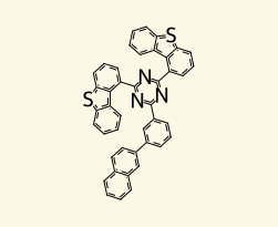 c1cc(-c2ccc3ccccc3c2)cc(-c2nc(-c3cccc4sc5ccccc5c34)nc(-c3cccc4sc5ccccc5c34)n2)c1